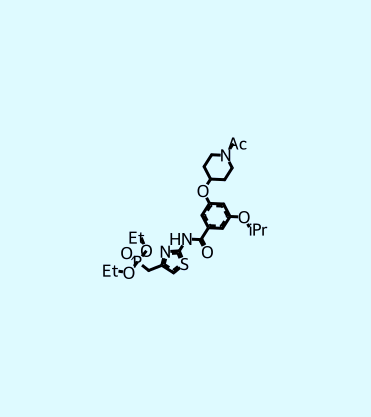 CCOP(=O)(Cc1csc(NC(=O)c2cc(OC(C)C)cc(OC3CCN(C(C)=O)CC3)c2)n1)OCC